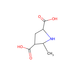 CC1NC(C(=O)O)CC1C(=O)O